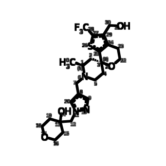 C[C@H]1C[C@@]2(CCN1Cc1cnn(CC3(O)CCOCC3)c1)OCCc1c2sc(C(F)(F)F)c1CO